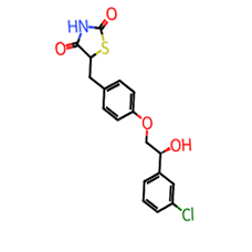 O=C1NC(=O)C(Cc2ccc(OC[C@@H](O)c3cccc(Cl)c3)cc2)S1